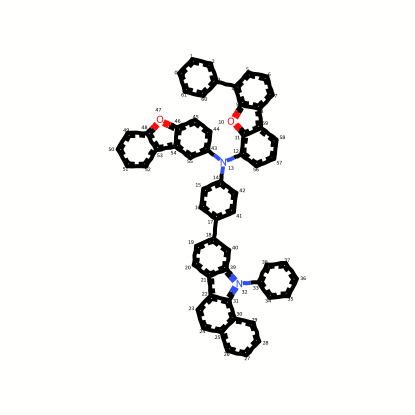 c1ccc(-c2cccc3c2oc2c(N(c4ccc(-c5ccc6c7ccc8ccccc8c7n(-c7ccccc7)c6c5)cc4)c4ccc5oc6ccccc6c5c4)cccc23)cc1